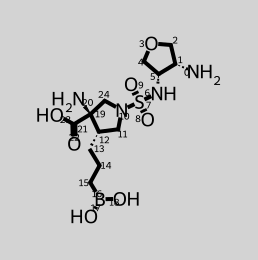 N[C@H]1COC[C@H]1NS(=O)(=O)N1C[C@H](CCCB(O)O)[C@](N)(C(=O)O)C1